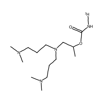 [2H]NC(=O)OC(C)CN(CCCN(C)C)CCCN(C)C